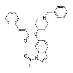 CC(=O)n1ccc2ccc(N(C(=O)C=Cc3ccccc3)C3CCN(Cc4ccccc4)CC3)cc21